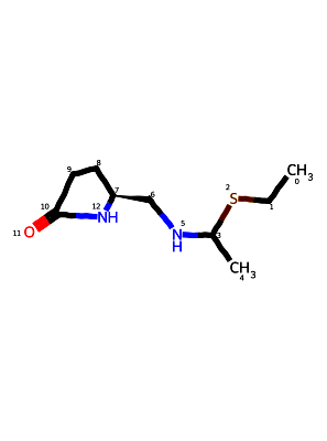 CCSC(C)NC[C@@H]1CCC(=O)N1